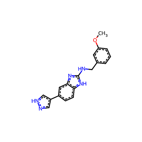 COc1cccc(CNc2nc3cc(-c4cn[nH]c4)ccc3[nH]2)c1